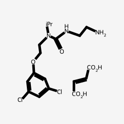 CC(C)N(CCOc1cc(Cl)cc(Cl)c1)C(=O)NCCN.O=C(O)C=CC(=O)O